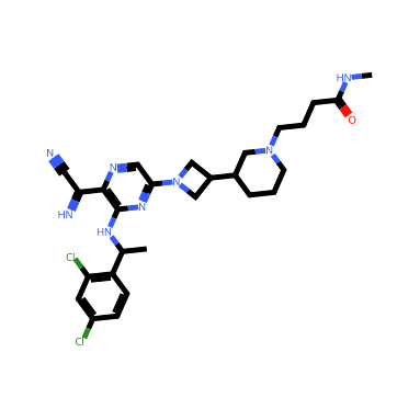 CNC(=O)CCCN1CCCC(C2CN(c3cnc(C(=N)C#N)c(NC(C)c4ccc(Cl)cc4Cl)n3)C2)C1